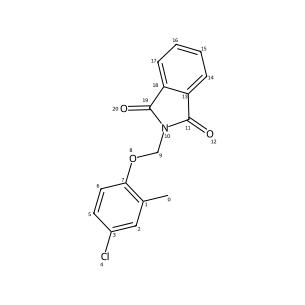 Cc1cc(Cl)ccc1OCN1C(=O)c2ccccc2C1=O